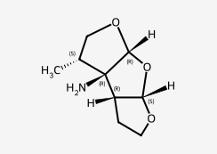 C[C@@H]1CO[C@@H]2O[C@@H]3OCC[C@@H]3[C@@]21N